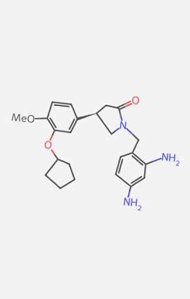 COc1ccc([C@H]2CC(=O)N(Cc3ccc(N)cc3N)C2)cc1OC1CCCC1